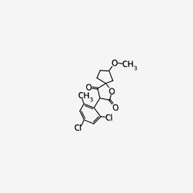 COC1CCC2(C1)OC(=O)C(c1c(C)cc(Cl)cc1Cl)C2=O